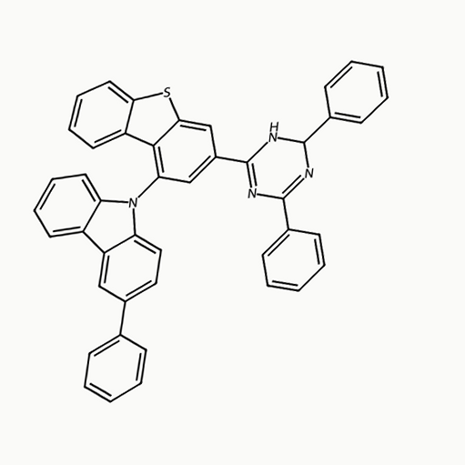 c1ccc(C2=NC(c3ccccc3)NC(c3cc(-n4c5ccccc5c5cc(-c6ccccc6)ccc54)c4c(c3)sc3ccccc34)=N2)cc1